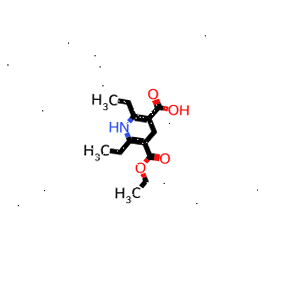 CCOC(=O)C1=C(CC)NC(CC)=C(C(=O)O)C1